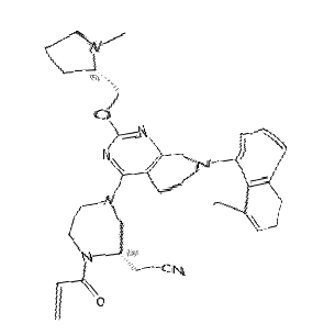 C=CC(=O)N1CCN(c2nc(OC[C@@H]3CCCN3C)nc3c2CCN(c2cccc4c2C(C)=CCC4)C3)C[C@@H]1CC#N